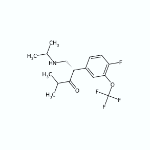 CC(C)NC[C@@H](C(=O)C(C)C)c1ccc(F)c(OC(F)(F)F)c1